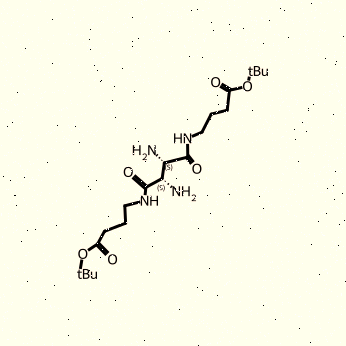 CC(C)(C)OC(=O)CCCNC(=O)[C@@H](N)[C@H](N)C(=O)NCCCC(=O)OC(C)(C)C